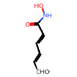 O=[C]C=CC=CC(=O)NO